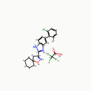 Fc1cccc(F)c1-c1ccc2[nH]c(C3=NOC4(CCCCC4)C3)nc2c1.O=C(O)C(F)(F)F